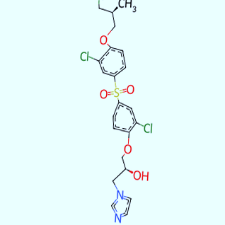 C[C@H](CCl)COc1ccc(S(=O)(=O)c2ccc(OC[C@@H](O)Cn3ccnc3)c(Cl)c2)cc1Cl